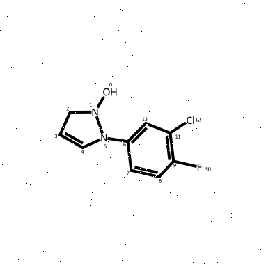 ON1CC=CN1c1ccc(F)c(Cl)c1